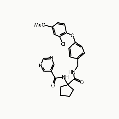 COc1ccc(Oc2ccc(CNC(=O)C3(NC(=O)c4cncnc4)CCCC3)cc2)c(Cl)c1